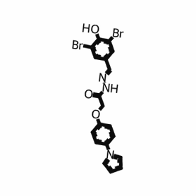 O=C(COc1ccc(-n2cccc2)cc1)NN=Cc1cc(Br)c(O)c(Br)c1